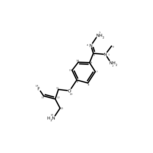 CN(N)/C(=N\N)c1ccc(OC/C(=C\F)CN)cc1